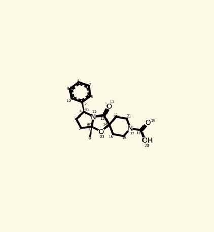 C[C@@]12CC[C@@H](c3ccccc3)N1C(=O)C1(CCN(C(=O)O)CC1)O2